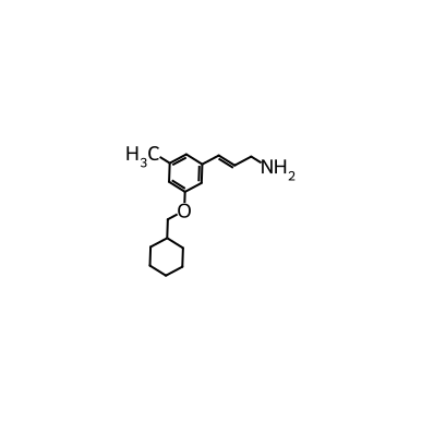 Cc1cc(/C=C/CN)cc(OCC2CCCCC2)c1